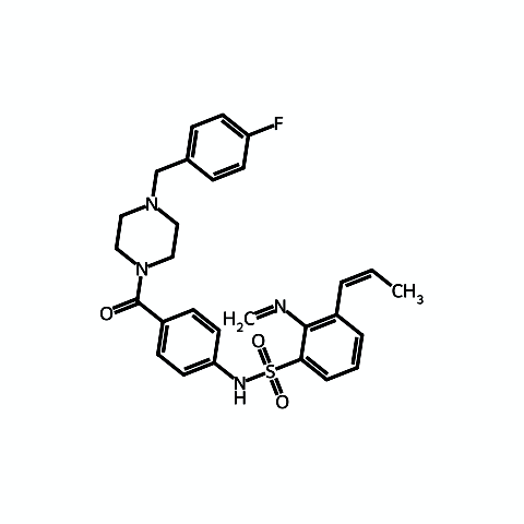 C=Nc1c(/C=C\C)cccc1S(=O)(=O)Nc1ccc(C(=O)N2CCN(Cc3ccc(F)cc3)CC2)cc1